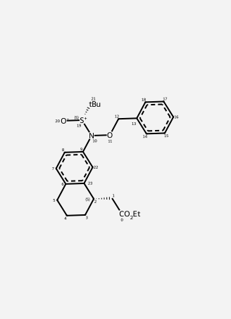 CCOC(=O)C[C@@H]1CCCc2ccc(N(OCc3ccccc3)[S@+]([O-])C(C)(C)C)cc21